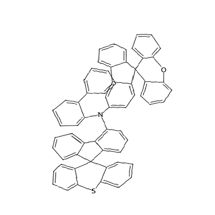 c1ccc(-c2ccccc2N(c2ccc3c(c2)-c2ccccc2C32c3ccccc3Oc3ccccc32)c2cccc3c2-c2ccccc2C32c3ccccc3Sc3ccccc32)cc1